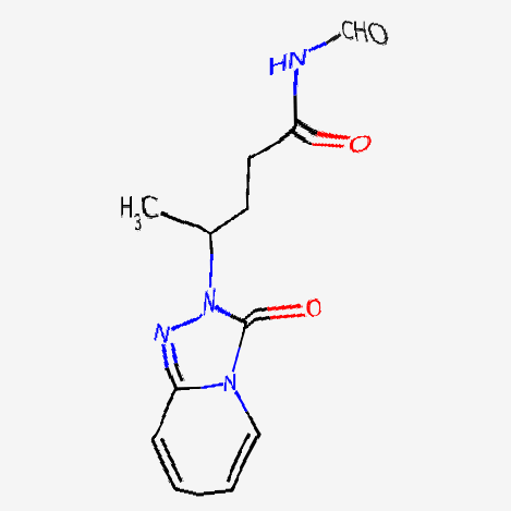 CC(CCC(=O)NC=O)n1nc2ccccn2c1=O